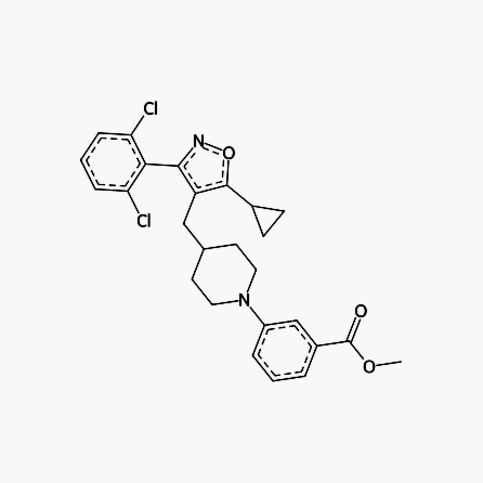 COC(=O)c1cccc(N2CCC(Cc3c(-c4c(Cl)cccc4Cl)noc3C3CC3)CC2)c1